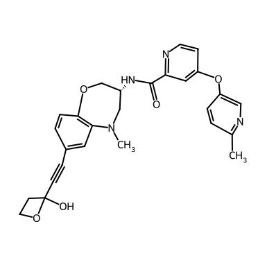 Cc1ccc(Oc2ccnc(C(=O)N[C@H]3COc4ccc(C#CC5(O)CCO5)cc4N(C)C3)c2)cn1